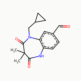 CC1(C)C(=O)Nc2ccc(C=O)cc2N(CC2CC2)C1=O